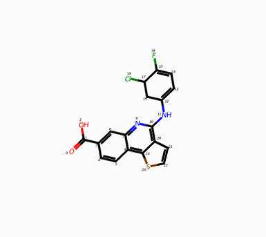 O=C(O)c1ccc2c(c1)nc(NC1=CC=C(F)C(Cl)C1)c1ccsc12